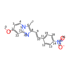 COc1ccn2c(C)c(/C=C/c3ccc([N+](=O)[O-])cc3)nc2c1